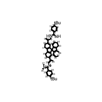 C=C(CNC(=N)c1ccc(C(C)(C)C)cc1)C1=CC2=C(CC1)C1=C(C=C(/C(C)=C/N=C(/c3ccc(C(C)(C)C)cc3)[N+](=C)C)CC1)C21C2=C(CCC=C2)C(C)=C1/C=C\C